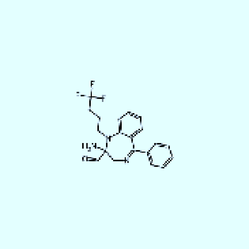 NC1(C=O)CN=C(c2ccccc2)c2ccccc2N1CCCC(F)(F)F